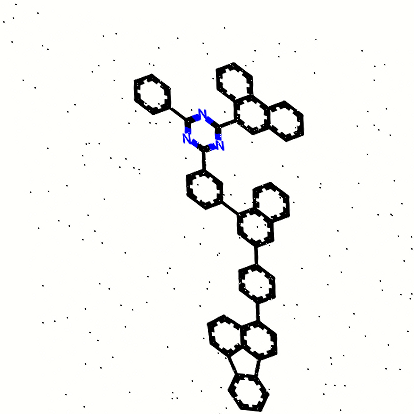 c1ccc(-c2nc(-c3cccc(-c4cc(-c5ccc(-c6ccc7c8c(cccc68)-c6ccccc6-7)cc5)cc5ccccc45)c3)nc(-c3cc4ccccc4c4ccccc34)n2)cc1